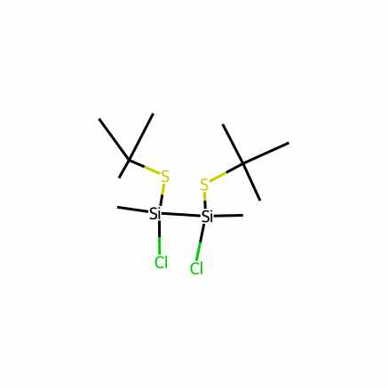 CC(C)(C)S[Si](C)(Cl)[Si](C)(Cl)SC(C)(C)C